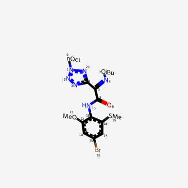 CCCCCCCCn1nnc(/C(=N\OCC(C)C)C(=O)Nc2c(OC)cc(Br)cc2SC)n1